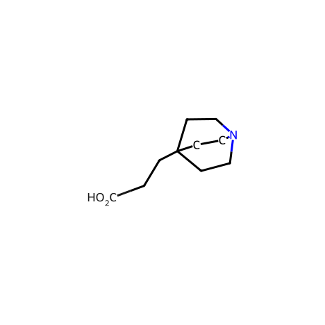 O=C(O)CCC12CCN(CC1)CC2